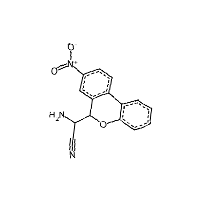 N#CC(N)C1Oc2ccccc2-c2ccc([N+](=O)[O-])cc21